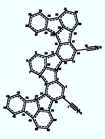 N#Cc1cc2c(c3cccc4c5c(cc(C#N)c6c7cccc8c9ccccc9n(c87)c65)n2c34)c2c1c1cccc3c4ccccc4n2c31